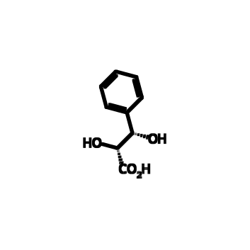 O=C(O)[C@H](O)[C@@H](O)c1ccccc1